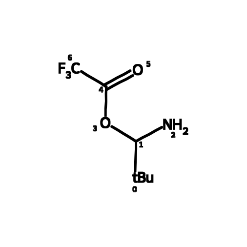 CC(C)(C)C(N)OC(=O)C(F)(F)F